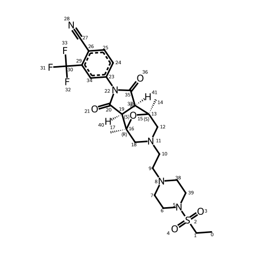 CCS(=O)(=O)N1CCN(CCN2C[C@@]3(C)O[C@@](C)(C2)[C@H]2C(=O)N(c4ccc(C#N)c(C(F)(F)F)c4)C(=O)[C@H]23)CC1